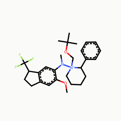 COc1cc2c(cc1N(C)[N+]1(COC(C)(C)C)CCCCC1c1ccccc1)C(C(F)(F)F)CC2